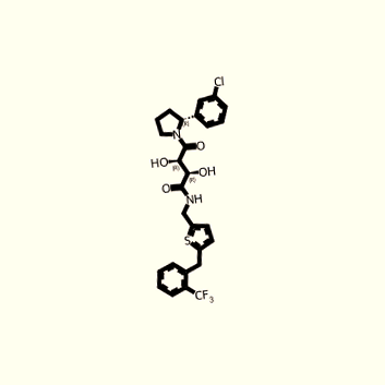 O=C(NCc1ccc(Cc2ccccc2C(F)(F)F)s1)[C@H](O)[C@@H](O)C(=O)N1CCC[C@@H]1c1cccc(Cl)c1